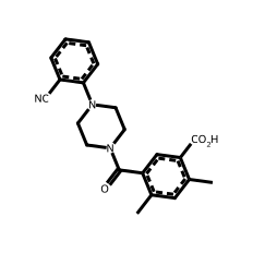 Cc1cc(C)c(C(=O)N2CCN(c3ccccc3C#N)CC2)cc1C(=O)O